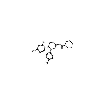 Clc1ccc(N2C[C@H](CNC3CCCCC3)CC[C@H]2c2ccc(Cl)cc2Cl)cc1